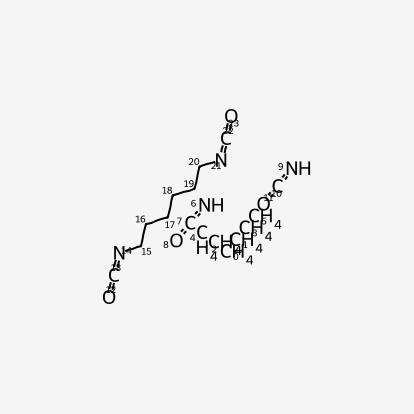 C.C.C.C.C.C.N=C=O.N=C=O.O=C=NCCCCCCN=C=O